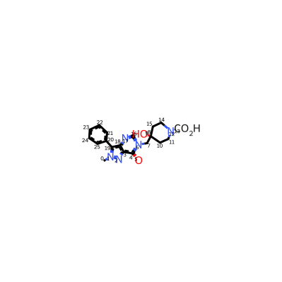 Cn1nc2c(=O)n(CC3(O)CCN(C(=O)O)CC3)cnc2c1-c1ccccc1